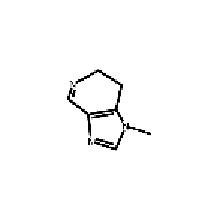 Cn1cnc2c1CCN=C2